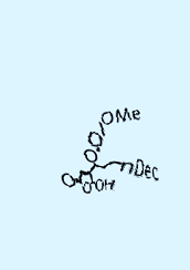 CCCCCCCCCCCCC(OCOCCOC)C1=CC(=O)OC1O